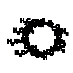 CCCC[C@@H]1NC(=O)[C@H](CCCCN)NC(=O)C(CC(C)C)NC(=O)[C@H](CC(C)C)NC(=O)[C@@H]2CSC(=N2)c2cc(cs2)C[C@@H](C(N)=O)NC(=O)[C@H](Cc2ccccc2)NC(=O)[C@H](C)NC(=O)CNC(=O)[C@@H]2CCCN2C1=O